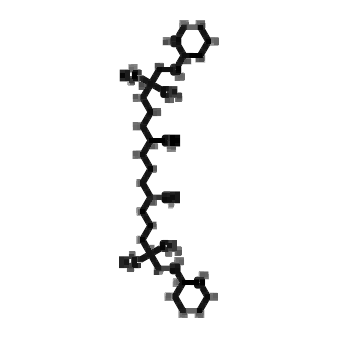 CC(C)(CCCC(O)CCCC(O)CCCC(C)(C)COC1CCCCO1)COC1CCCCO1